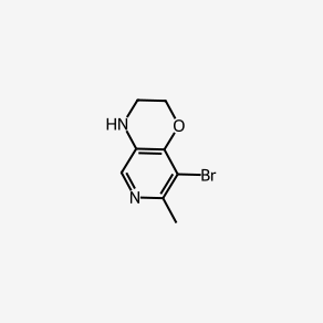 Cc1ncc2c(c1Br)OCCN2